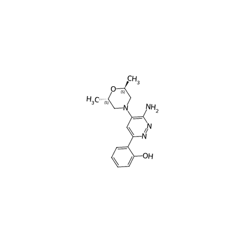 C[C@H]1CN(c2cc(-c3ccccc3O)nnc2N)C[C@H](C)O1